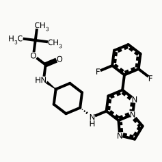 CC(C)(C)OC(=O)N[C@H]1CC[C@H](Nc2cc(-c3c(F)cccc3F)nn3ccnc23)CC1